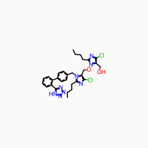 CCCCc1nc(Cl)c(COn2c(CCCC)nc(Cl)c2CO)n1Cc1ccc(-c2ccccc2-c2nnn[nH]2)cc1